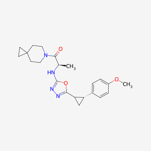 COc1ccc([C@@H]2CC2c2nnc(N[C@H](C)C(=O)N3CCC4(CC3)CC4)o2)cc1